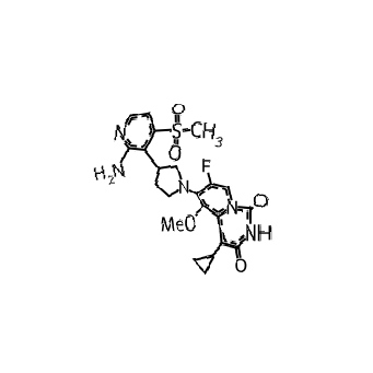 COc1c(N2CCC(c3c(S(C)(=O)=O)ccnc3N)C2)c(F)cn2c(=O)[nH]c(=O)c(C3CC3)c12